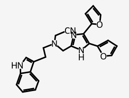 N#CCN(CCc1c[nH]c2ccccc12)Cc1nc(-c2ccco2)c(-c2ccco2)[nH]1